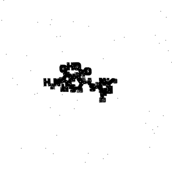 Cc1nc(SCC2=C(C(=O)O)N3C(=O)C(N)[C@H]3SC2)n(C)n1